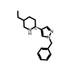 CCC1CC[C@@H](c2cnn(Cc3ccccc3)c2)NC1